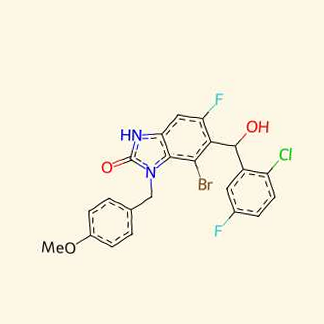 COc1ccc(Cn2c(=O)[nH]c3cc(F)c(C(O)c4cc(F)ccc4Cl)c(Br)c32)cc1